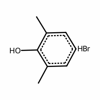 Br.Cc1cccc(C)c1O